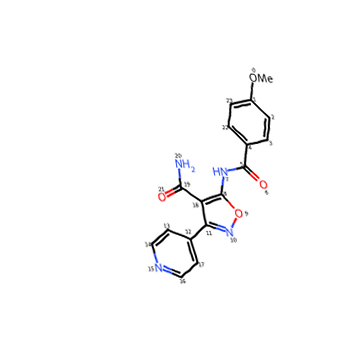 COc1ccc(C(=O)Nc2onc(-c3ccncc3)c2C(N)=O)cc1